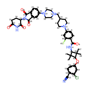 CC1(C)C(NC(=O)c2ccc(N3CCC(CN4CCN(c5ccc6c(c5)C(=O)N(C5CCC(=O)NC5=O)C6=O)CC4)CC3)cc2F)C(C)(C)C1Oc1ccc(C#N)c(Cl)c1